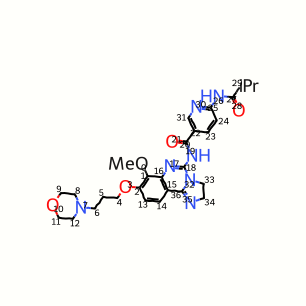 COc1c(OCCCN2CCOCC2)ccc2c1N=C(NC(=O)c1ccc(NC(=O)C(C)C)nc1)N1CCN=C21